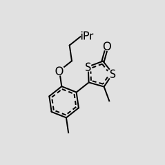 Cc1ccc(OCCC(C)C)c(-c2sc(=O)sc2C)c1